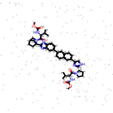 COC(=O)N[C@H](C(=O)N1CC2CCC1(c1nc3cc(-c4ccc5cc(-c6c[nH]c([C@@H]7CCCN7C(=O)[C@H](NC(=O)OC)C(C)C)n6)ccc5c4)ccc3[nH]1)C2)C(C)C